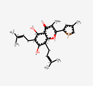 COc1c(-c2cc(C)cs2)oc2c(CC=C(C)C)c(O)c(CC=C(C)C)c(O)c2c1=O